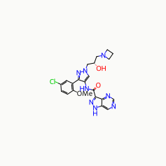 COc1ccc(Cl)cc1-c1nn(C[C@@H](O)CN2CCC2)cc1NC(=O)c1n[nH]c2cncnc12